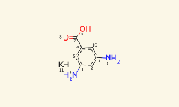 Nc1cc(N)cc(C(=O)O)c1.[KH]